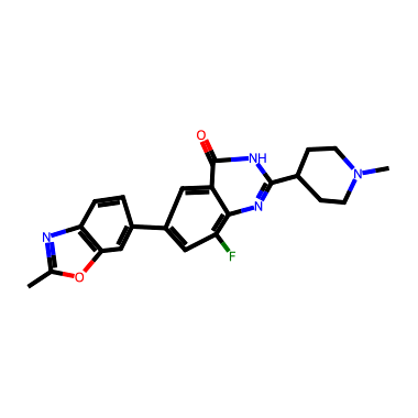 Cc1nc2ccc(-c3cc(F)c4nc(C5CCN(C)CC5)[nH]c(=O)c4c3)cc2o1